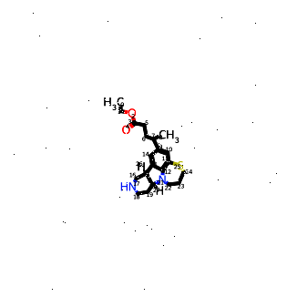 CCOC(=O)CCC(C)c1cc2c3c(c1)[C@@H]1CNCC[C@@H]1N3CCCS2